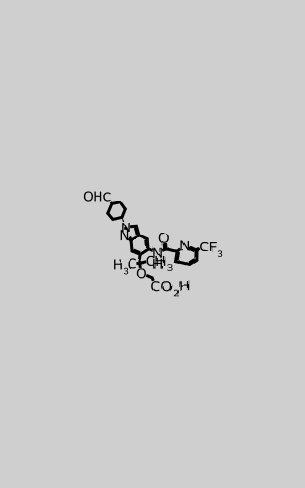 CC(C)(OCC(=O)O)c1cc2nn([C@H]3CC[C@H](C=O)CC3)cc2cc1NC(=O)c1cccc(C(F)(F)F)n1